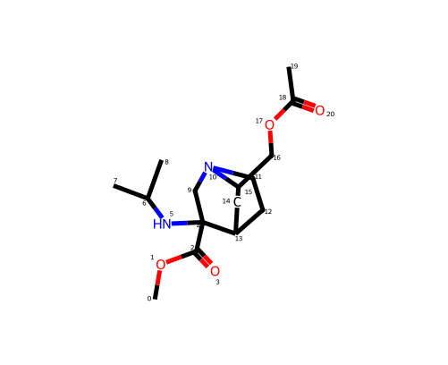 COC(=O)C1(NC(C)C)CN2CCC1CC2COC(C)=O